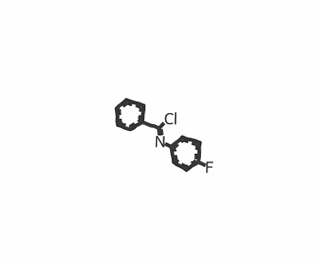 Fc1ccc(/N=C(\Cl)c2ccccc2)cc1